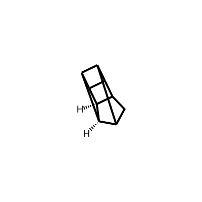 C1C2C3C4C1[C@H]1C4C3[C@@H]21